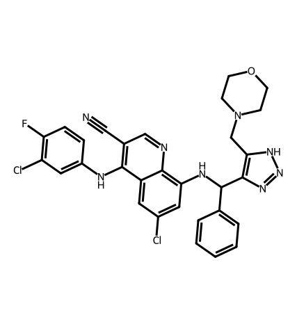 N#Cc1cnc2c(NC(c3ccccc3)c3nn[nH]c3CN3CCOCC3)cc(Cl)cc2c1Nc1ccc(F)c(Cl)c1